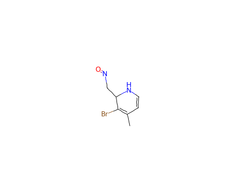 CC1=C(Br)C(CN=O)NC=C1